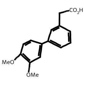 COc1ccc(-c2cccc(CC(=O)O)c2)cc1OC